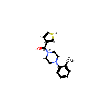 COc1ccccc1N1CCN(C(=O)c2ccsc2)CC1